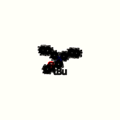 CC(C)(C)c1c(-c2cccc(N(c3ccc(-c4ccc5ccccc5c4)cc3)c3ccc(-c4ccc5ccccc5c4)cc3)c2)oc2ccccc12